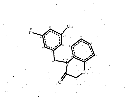 O=C1COc2ccccc2N1Cc1cc(Cl)cc(Cl)c1